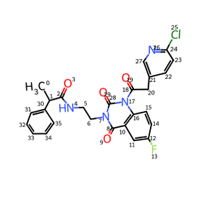 CC(C(=O)NCCn1c(=O)c2cc(F)ccc2n(C(=O)Cc2ccc(Cl)nc2)c1=O)c1ccccc1